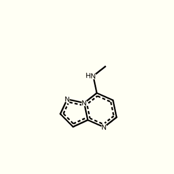 CNc1ccnc2ccnn12